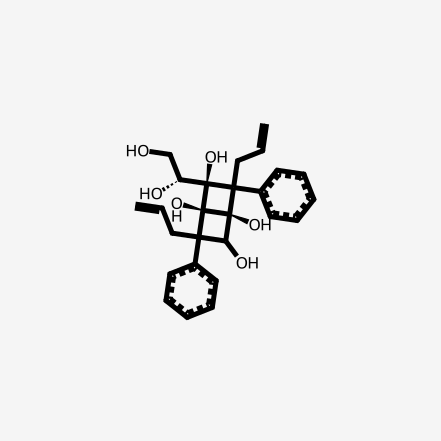 C=CCC1(c2ccccc2)C(O)[C@@]2(O)C(CC=C)(c3ccccc3)[C@@](O)([C@H](O)CO)[C@@]12O